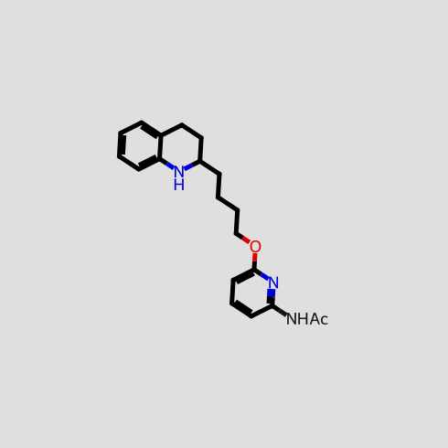 CC(=O)Nc1cccc(OCCCCC2CCc3ccccc3N2)n1